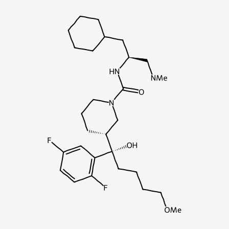 CNC[C@H](CC1CCCCC1)NC(=O)N1CCC[C@@H]([C@@](O)(CCCCOC)c2cc(F)ccc2F)C1